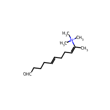 CC(=CCCC=CCCCC=O)[N+](C)(C)C